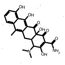 Cc1c2c(c(O)c3c(O)cccc13)C(=O)C1(O)C(=O)C(C(N)=O)=C(O)C(N(C)C)C1C2